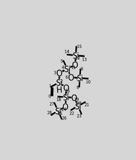 C=C[SiH](O[Si](C)(O[Si](C)(C)C)O[Si](C)(C)C)O[Si](C)(O[Si](C)(C)C)O[Si](C)(C)C